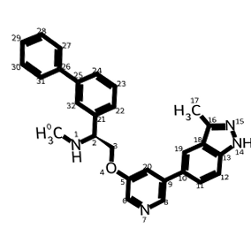 CN[C@H](COc1cncc(-c2ccc3[nH]nc(C)c3c2)c1)c1cccc(-c2ccccc2)c1